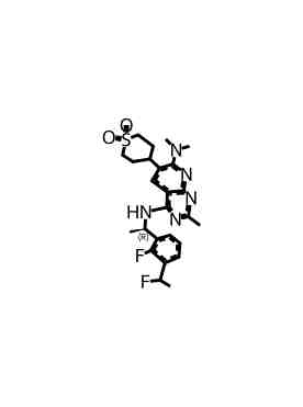 Cc1nc(N[C@H](C)c2cccc(C(C)F)c2F)c2cc(C3CCS(=O)(=O)CC3)c(N(C)C)nc2n1